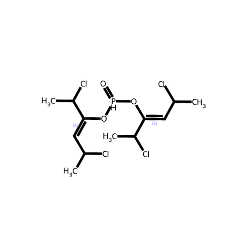 CC(Cl)/C=C(\O[PH](=O)O/C(=C\C(C)Cl)C(C)Cl)C(C)Cl